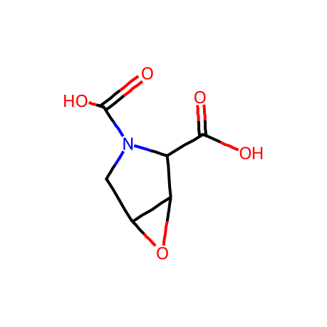 O=C(O)C1C2OC2CN1C(=O)O